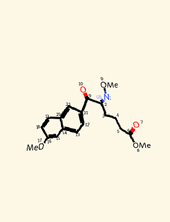 CO/N=C(/CCCC(=O)OC)C(=O)c1ccc2cc(OC)ccc2c1